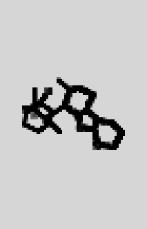 Cc1ccc2c(oc3ncccc32)c1N1[C@@H](C)N2CCC1(C)CC2